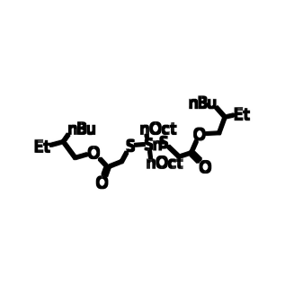 CCCCCCC[CH2][Sn]([CH2]CCCCCCC)([S]CC(=O)OCC(CC)CCCC)[S]CC(=O)OCC(CC)CCCC